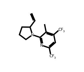 C=CC1CCCN1c1nc(C(F)(F)F)cc(C(F)(F)F)c1C